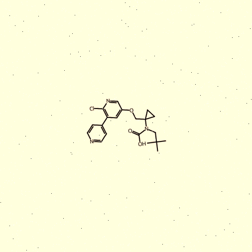 CC(C)(C)CN(C(=O)O)C1(COc2cnc(Cl)c(-c3ccncc3)c2)CC1